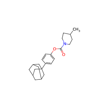 CC1CCN(C(=O)Oc2ccc(C34CC5CC(CC(C5)C3)C4)cc2)CC1